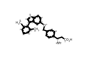 CCC[C@@H](CC(=O)O)c1ccc(COc2ccc3scc(-c4c(C)cccc4C)c3c2)cc1